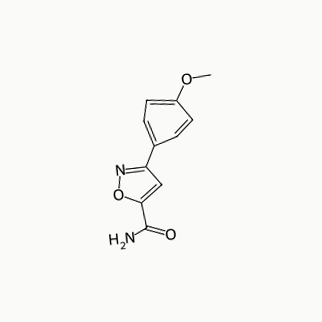 COc1ccc(-c2cc(C(N)=O)on2)cc1